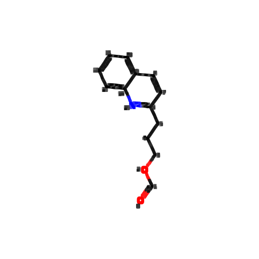 O=COCCCc1ccc2ccccc2n1